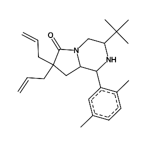 C=CCC1(CC=C)CC2C(c3cc(C)ccc3C)NC(C(C)(C)C)CN2C1=O